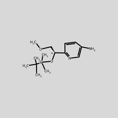 COC[C@H](O[Si](C)(C)C(C)(C)C)c1ccc(N)cn1